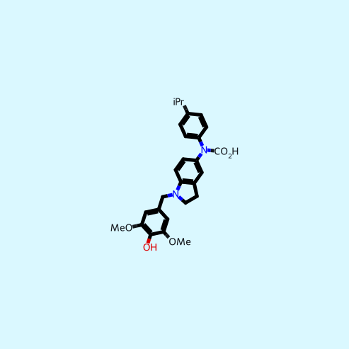 COc1cc(CN2CCc3cc(N(C(=O)O)c4ccc(C(C)C)cc4)ccc32)cc(OC)c1O